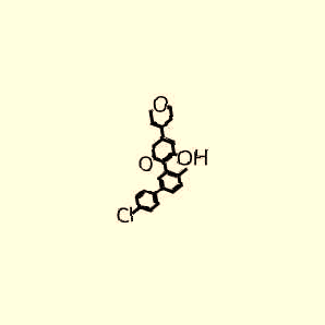 Cc1ccc(-c2ccc(Cl)cc2)cc1C1=C(O)CC(C2CCOCC2)CC1=O